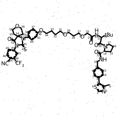 Cc1ncsc1-c1ccc(CNC(=O)[C@@H]2CCCN2C(=O)C(NC(=O)COCCCOCCCCOc2ccc(N3C(=S)N(c4ccc(C#N)c(C(F)(F)F)c4)C(=O)C34CCOCC4)cc2)C(C)(C)C)cc1